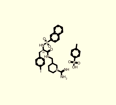 Cc1ccc(S(=O)(=O)O)cc1.N=C(N)N1CCCC(CNC(=O)[C@@H](Cc2ccc(I)cc2)NS(=O)(=O)c2ccc3ccccc3c2)C1